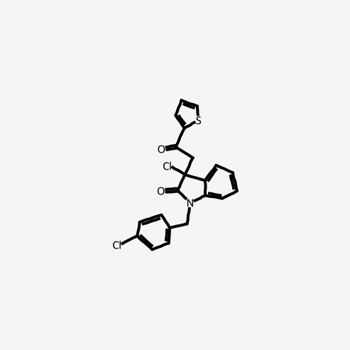 O=C(CC1(Cl)C(=O)N(Cc2ccc(Cl)cc2)c2ccccc21)c1cccs1